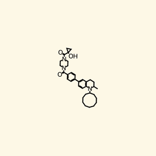 CC1CCc2cc(-c3ccc(C(=O)N4CCN(C(=O)C5(O)CC5)CC4)cc3)ccc2N1C1CCCCCCCCC1